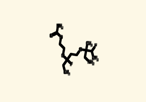 CCC(F)(CCOC(C)(CN)C(C)F)OCCOC(N)=O